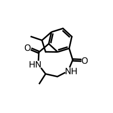 CC1CNC(=O)c2ccc3c(c2CC3C)C(=O)N1